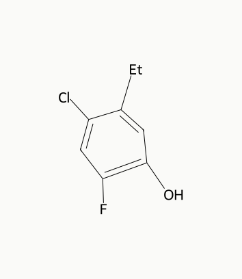 CCc1cc(O)c(F)cc1Cl